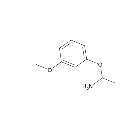 COc1cccc(OC(C)N)c1